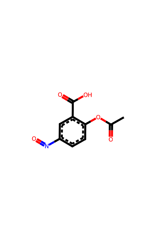 CC(=O)Oc1ccc(N=O)cc1C(=O)O